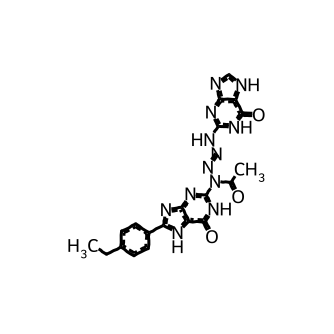 CCc1ccc(-c2nc3nc(N(N=NNc4nc5nc[nH]c5c(=O)[nH]4)C(C)=O)[nH]c(=O)c3[nH]2)cc1